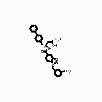 O=C(O)c1cccc(Cn2nnc3cc(C(=O)N[C@H](Cc4ccc(-c5ccccc5)cc4)CC(O)C(=O)O)ccc32)c1